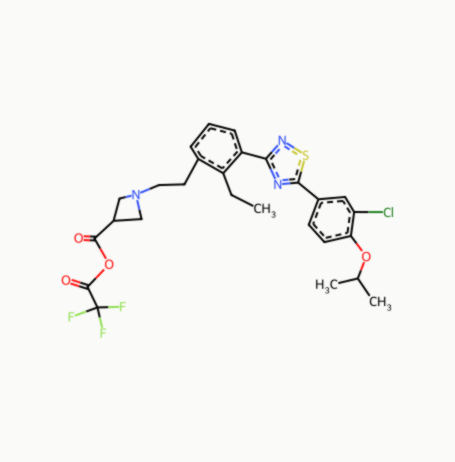 CCc1c(CCN2CC(C(=O)OC(=O)C(F)(F)F)C2)cccc1-c1nsc(-c2ccc(OC(C)C)c(Cl)c2)n1